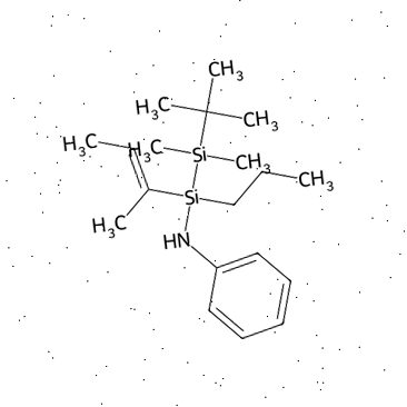 C/C=C(\C)[Si](CCC)(Nc1ccccc1)[Si](C)(C)C(C)(C)C